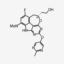 CNc1cc(F)c2c3c1[nH]c1nc(Oc4cnc(C)nc4)nc(c13)O[C@@H](CCO)C2